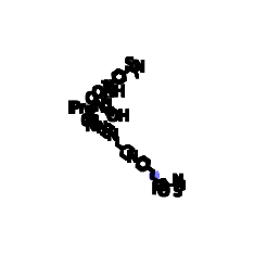 Cc1ncsc1-c1ccc([C@H](C)NC(=O)[C@@H]2C[C@@H](O)CN2C(=O)[C@@H](c2cc(N3CCN(CCC4CCN(c5ccc(/C=C/c6cc(-c7nccs7)on6)cc5)CC4)CC3)no2)C(C)C)cc1